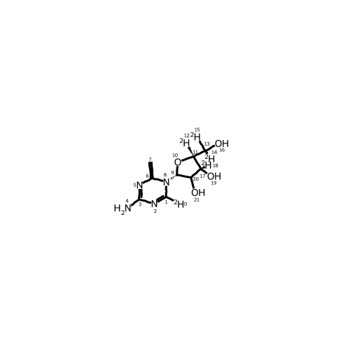 [2H]C1=NC(N)=NC(=C)N1[C@@H]1O[C@]([2H])(C([2H])([2H])O)[C@]([2H])(O)C1O